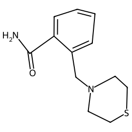 NC(=O)c1ccccc1CN1CCSCC1